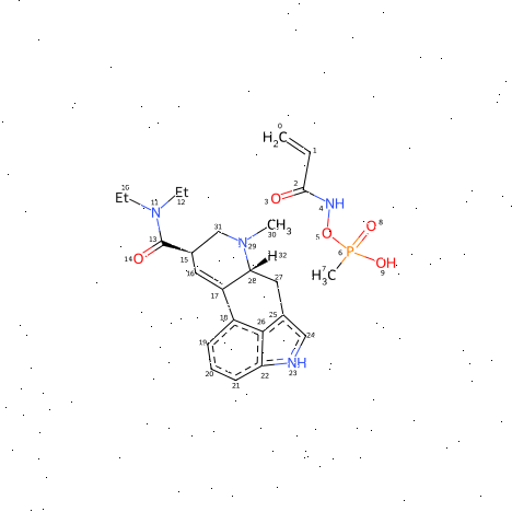 C=CC(=O)NOP(C)(=O)O.CCN(CC)C(=O)[C@@H]1C=C2c3cccc4[nH]cc(c34)C[C@H]2N(C)C1